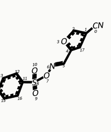 N#Cc1coc(/C=N/OS(=O)(=O)c2ccccc2)c1